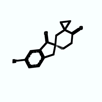 O=C1CC[C@@]2(Cc3ccc(Br)cc3C2=O)CC12CC2